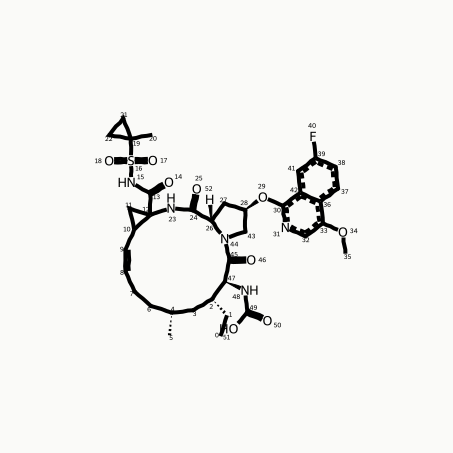 CC[C@@H]1C[C@H](C)CC/C=C\C2CC2(C(=O)NS(=O)(=O)C2(C)CC2)NC(=O)[C@@H]2C[C@@H](Oc3ncc(OC)c4ccc(F)cc34)CN2C(=O)[C@H]1NC(=O)O